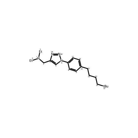 CCN(CC)Cc1cn(-c2ccc(CCCCC(C)(C)C)cc2)nn1